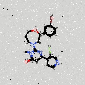 Cn1c(N2CCCO[C@@H](c3cccc(Br)c3)C2)nc(-c2ccncc2F)cc1=O